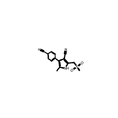 Cc1[nH]c(CS(C)(=O)=O)c(C#N)c1-c1ccc(C#N)cc1